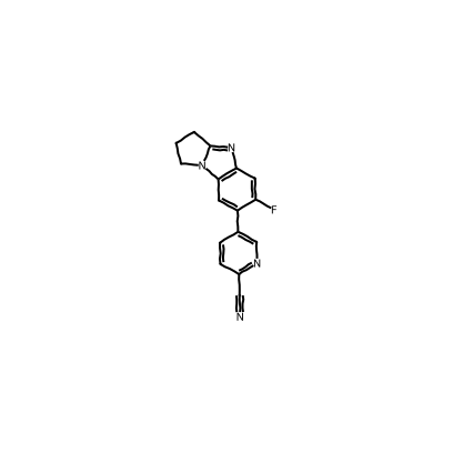 N#Cc1ccc(-c2cc3c(cc2F)nc2n3CCC2)cn1